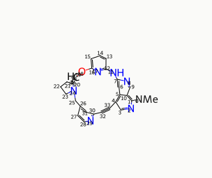 CNc1ncc2c3cc(ncc13)Nc1cccc(n1)OC[C@H]1CCCN1Cc1ccnc(c1)C#C2